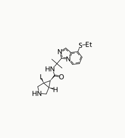 CCSc1cccn2c(C(C)(C)NC(=O)[C@H]3[C@@H]4CNC[C@@]43I)ncc12